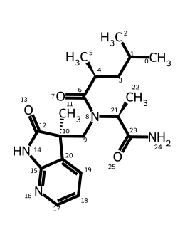 CC(C)C[C@H](C)C(=O)N(C[C@]1(C)C(=O)Nc2ncccc21)[C@@H](C)C(N)=O